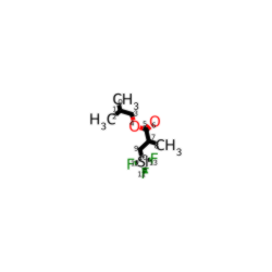 CC(C)COC(=O)C(C)C[Si](F)(F)F